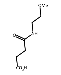 COCCNC(=O)CCC(=O)O